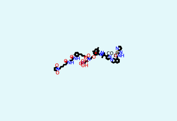 Cc1c(-c2ccc(N3CCc4cccc(C(=O)Nc5nc6cccnc6s5)c4C3)nc2C(=O)O)cnn1CC12CC3(C)CC(C)(C1)CC(OCCN(CCCP(=O)(O)O)C(=O)OC/C=C/c1cc[c]c(NC(=O)CCNC(=O)CCCCCN4C(=O)C=CC4=O)c1)(C3)C2